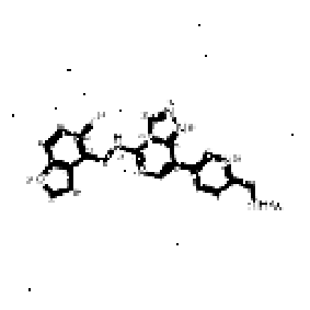 CC(=O)NCc1ccc(-c2cnc(NCc3c(F)ccc4c3CCO4)n3cnnc23)cn1